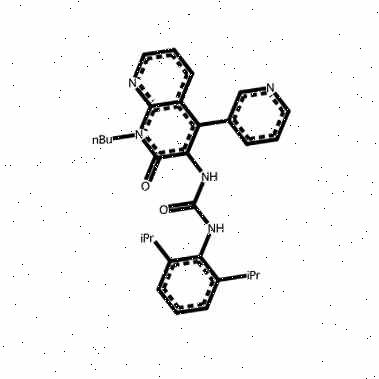 CCCCn1c(=O)c(NC(=O)Nc2c(C(C)C)cccc2C(C)C)c(-c2cccnc2)c2cccnc21